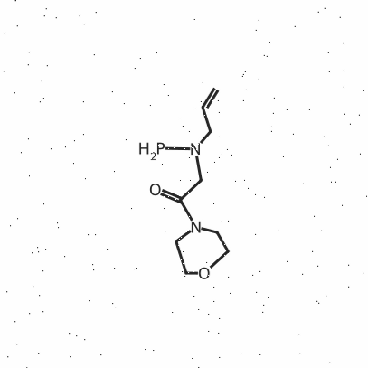 C=CCN(P)CC(=O)N1CCOCC1